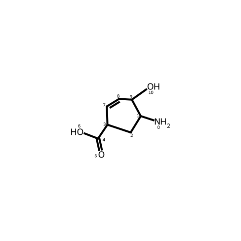 NC1CC(C(=O)O)C=CC1O